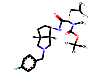 CC(C)C[C@@H](C(=O)N[C@@H]1CC[C@H]2CN(Cc3ccc(F)cc3)C[C@H]21)N(C)C(=O)OC(C)(C)C